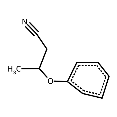 CC(CC#N)Oc1ccccc1